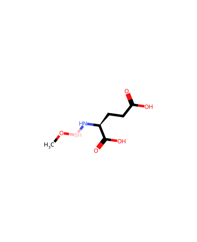 COBN[C@@H](CCC(=O)O)C(=O)O